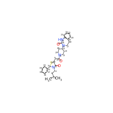 CC(C)CCN1C(=O)C(CC(=O)N2CCC(N3CCc4ccccc4NC3=O)CC2)SC1c1ccccc1